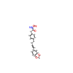 O=C(Cc1ccc(CCC#Cc2ccc3c(c2)OCO3)cc1)NO